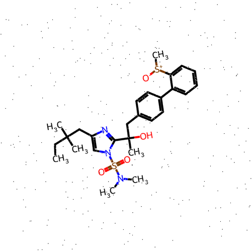 CCC(C)(C)Cc1cn(S(=O)(=O)N(C)C)c(C(C)(O)Cc2ccc(-c3ccccc3[S+](C)[O-])cc2)n1